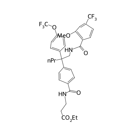 CCCC(CNC(=O)c1ccc(C(F)(F)F)cc1OC)(c1ccc(OC(F)(F)F)cc1)c1ccc(C(=O)NCCC(=O)OCC)cc1